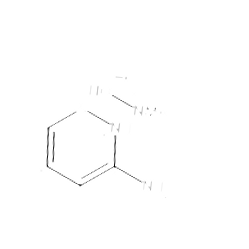 CNO.Cl.NC1=CC=CSN1